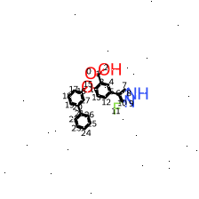 O=C(O)c1cc(-c2c[nH]nc2F)ccc1Oc1cccc(-c2ccccc2)c1